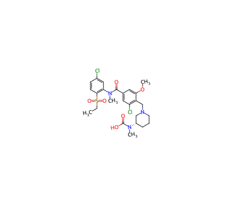 CCS(=O)(=O)c1ccc(Cl)cc1N(C)C(=O)c1cc(Cl)c(CN2CCC[C@H](N(C)C(=O)O)C2)c(OC)c1